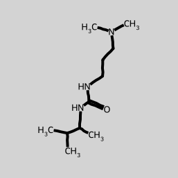 CC(C)C(C)NC(=O)NCCCN(C)C